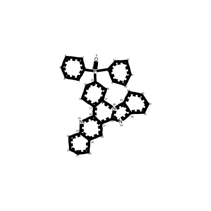 O=P(c1ccccc1)(c1ccccc1)c1ccc2c3nc4ccccc4cc3c3nc4ccccc4n3c2c1